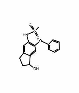 CS(=O)(=O)Nc1cc2c(cc1Oc1ccccc1)C(O)CC2